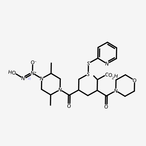 CC(C(=O)O)C(CC(CSSc1ccccn1)C(=O)N1CC(C)N(/[N+]([O-])=N/O)CC1C)C(=O)N1CCOCC1